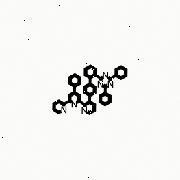 c1ccc(-c2cc(-c3ccccn3)nc(-c3ncccc3-c3ccc(-c4ccccc4-c4nc(-c5ccccc5)nc(-c5ccccc5)n4)cc3)c2)cc1